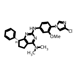 COc1cc(Nc2nc3c(c(N(C)C)n2)CC[C@@H]3c2ccccc2)ccc1-n1cnc(Cl)c1